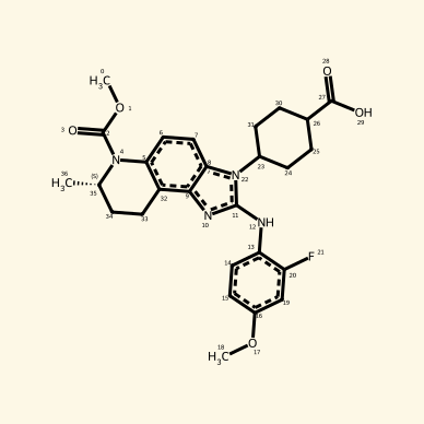 COC(=O)N1c2ccc3c(nc(Nc4ccc(OC)cc4F)n3C3CCC(C(=O)O)CC3)c2CC[C@@H]1C